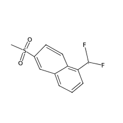 CS(=O)(=O)c1ccc2c([C](F)F)cccc2c1